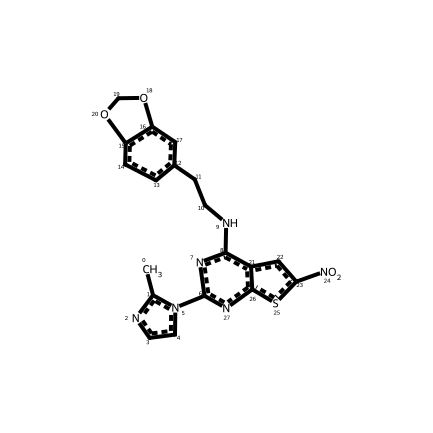 Cc1nccn1-c1nc(NCCc2ccc3c(c2)OCO3)c2cc([N+](=O)[O-])sc2n1